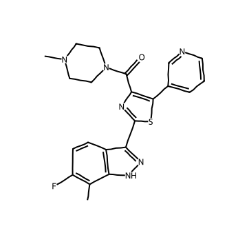 Cc1c(F)ccc2c(-c3nc(C(=O)N4CCN(C)CC4)c(-c4cccnc4)s3)n[nH]c12